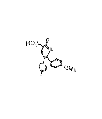 COc1ccc(-c2[nH]c(=O)c(C(=O)O)cc2-c2ccc(F)cc2)cc1